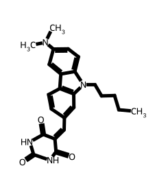 CCCCCn1c2ccc(N(C)C)cc2c2ccc(C=C3C(=O)NC(=O)NC3=O)cc21